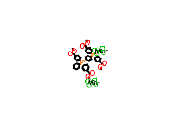 COC(=O)c1ccc([P+](C)(c2ccccc2)c2ccc(C(=O)OC)cc2)cc1.COC(=O)c1ccc([P+](C)(c2ccccc2)c2ccc(C(=O)OC)cc2)cc1.[Cl][Mn-]([Cl])([Cl])[Cl].[Cl][Mn-]([Cl])([Cl])[Cl]